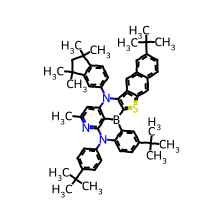 Cc1cc2c3c(n1)N(c1ccc(C(C)(C)C)cc1)c1ccc(C(C)(C)C)cc1B3c1sc3cc4ccc(C(C)(C)C)cc4cc3c1N2c1ccc2c(c1)C(C)(C)CC2(C)C